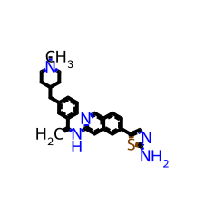 C=C(Nc1cc2cc(-c3cnc(N)s3)ccc2cn1)c1cccc(CC2CCN(C)CC2)c1